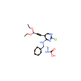 CCOC(C#Cc1cnc(Cl)nc1N[C@H](CNC(=O)O)c1ccccc1)OCC